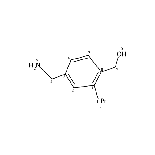 CCCc1cc(CN)ccc1CO